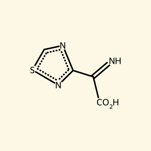 N=C(C(=O)O)c1ncsn1